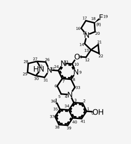 Oc1cc(N2CCc3c(nc(OCC4(CN5CC[C@@H](F)C5)CC4)nc3N3CC4CCC(C3)N4)C2)c2c(I)cccc2c1